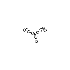 c1ccc(-c2ccc(N(c3ccc(-c4ccc5c(ccc6ccccc65)c4)cc3)c3ccc(-c4ccc5oc6ccccc6c5c4)cc3)cc2)cc1